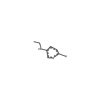 CCNc1ccc(F)nc1